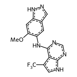 COc1cc2[nH]ncc2cc1Nc1ncnc2[nH]cc(C(F)(F)F)c12